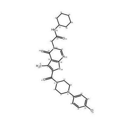 Cc1c(C(=O)N2CCN(c3ccc(Cl)cc3)CC2)sc2ncn(CC(=O)NC3CCCCC3)c(=O)c12